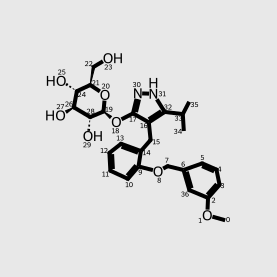 COc1cccc(COc2ccccc2Cc2c(O[C@@H]3O[C@H](CO)[C@@H](O)[C@H](O)[C@H]3O)n[nH]c2C(C)C)c1